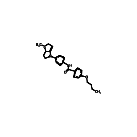 CCCCOc1ccc(C(=O)Nc2ccc(N3CCC4C3=CCN4C)cc2)cc1